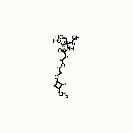 CC1CC(OCCOCCC(=O)NC(CO)(CO)CO)C1